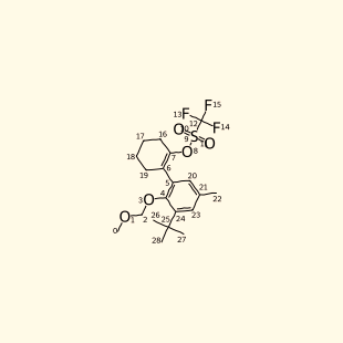 COCOc1c(C2=C(OS(=O)(=O)C(F)(F)F)CCCC2)cc(C)cc1C(C)(C)C